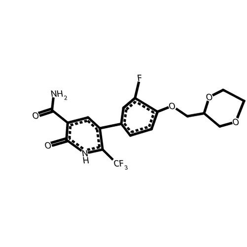 NC(=O)c1cc(-c2ccc(OCC3COCCO3)c(F)c2)c(C(F)(F)F)[nH]c1=O